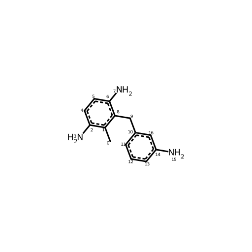 Cc1c(N)ccc(N)c1Cc1cccc(N)c1